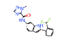 Cn1ncnc1C(=O)Nc1ccc2cc(-c3ccccc3C(F)F)[nH]c2c1